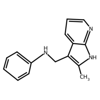 Cc1[nH]c2ncccc2c1CNc1ccccc1